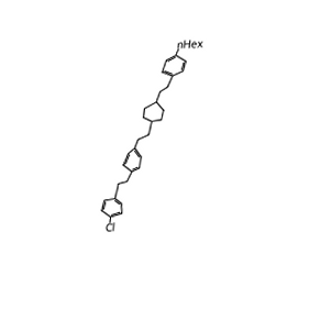 CCCCCCc1ccc(CCC2CCC(CCc3ccc(CCc4ccc(Cl)cc4)cc3)CC2)cc1